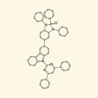 O=P1(c2ccccc2)N(c2ccccc2)c2ccc(-c3ccc4c(c3)c3ccccc3n4-c3nc(-c4ccccc4)cc(-c4ccccc4)n3)cc2N1c1ccccc1